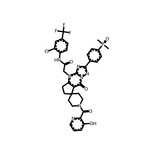 CP(C)(=O)c1ccc(-c2nc3n(CC(=O)Nc4ccc(C(F)(F)F)cc4Cl)c4c(c(=O)n3n2)C2(CC4)CCN(C(=O)c3ncccc3O)CC2)cc1